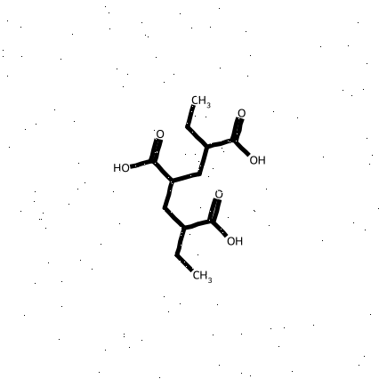 CCC(CC(CC(CC)C(=O)O)C(=O)O)C(=O)O